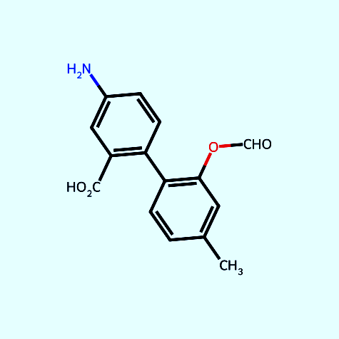 Cc1ccc(-c2ccc(N)cc2C(=O)O)c(OC=O)c1